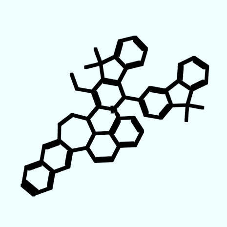 CCC1=C(C2CCc3cc4cc#ccc4cc3C3C=Cc4ccccc4C23)N(C)C(c2ccc3c(c2)-c2ccccc2C3(C)C)C2=C1C(C)(C)c1ccccc12